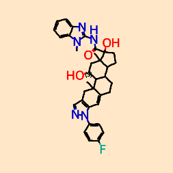 Cn1c(NC(=O)C2(O)CCC3C4CCC5=Cc6c(cnn6-c6ccc(F)cc6)CC5(C)C4[C@@H](O)CC32C)nc2ccccc21